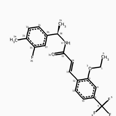 CCOc1cc(C(F)(F)F)ccc1/C=C/C(=O)N[C@H](C)c1ccc(C)c(F)c1